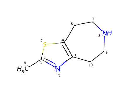 Cc1nc2c(s1)CCNCC2